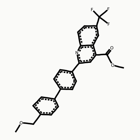 COCc1ccc(-c2ccc(-c3cc(C(=O)OC)c4cc(C(F)(F)F)ccc4n3)cc2)cc1